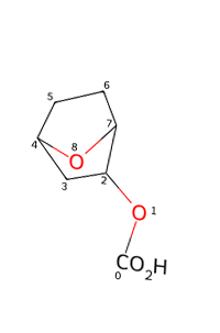 O=C(O)OC1CC2CCC1O2